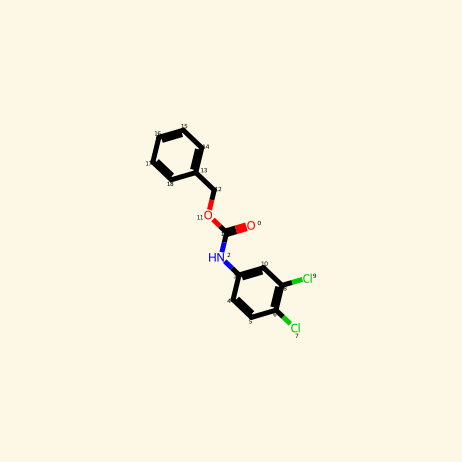 O=C(Nc1ccc(Cl)c(Cl)c1)OCc1ccccc1